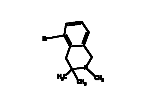 CN1Cc2cccc(Br)c2CC1(C)C